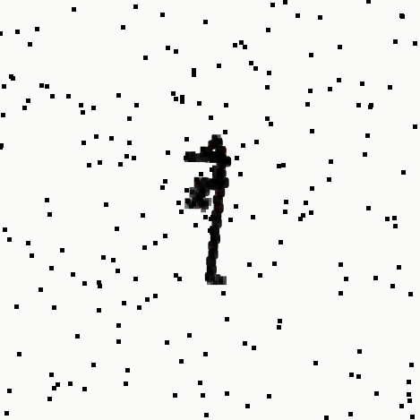 CCCCOCCOCCOCCOCCOCCOCCOCCOCCOCCOCCOCCOCCNC(=O)C(CSSCCOC(=O)OCc1ccc(-c2ccnc3ccc(-c4cnc(OC)c(N)c4)cc23)cn1)NC(=O)COc1ccc2nccc(C(=O)NCC(=O)N3CC(F)(F)C[C@H]3C#N)c2c1